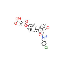 CC(C)C1=C2[C@H]3CC[C@@H]4[C@@]5(C)CC[C@H](OC(=O)[C@H]6C[C@@H](C(=O)O)C6(C)C)C(C)(C)[C@@H]5CC[C@@]4(C)[C@]3(C)CC[C@@]2(CC(=O)NCc2ccc(Cl)cc2)CC1=O